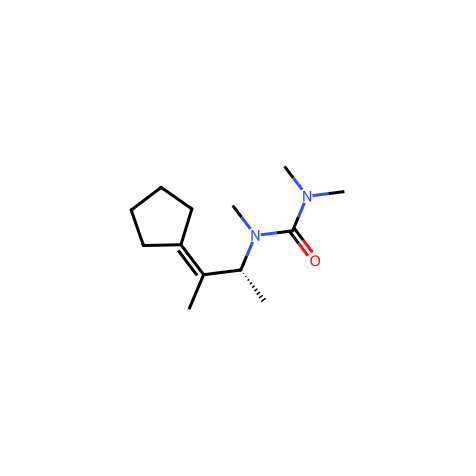 CC(=C1CCCC1)[C@@H](C)N(C)C(=O)N(C)C